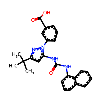 CC(C)(C)c1cc(NC(=O)Nc2cccc3ccccc23)n(-c2cccc(C(=O)O)c2)n1